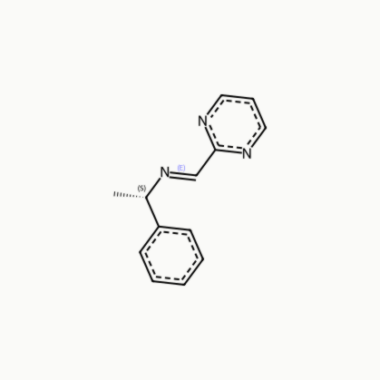 C[C@H](/N=C/c1ncccn1)c1ccccc1